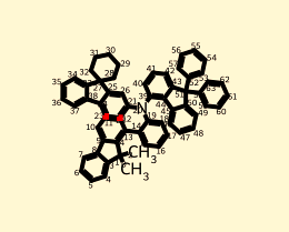 CC1(C)c2ccccc2-c2cccc(-c3ccccc3N(c3ccc4c(c3)C3(CCCCC3)c3ccccc3-4)c3cccc4c3-c3ccccc3C4(c3ccccc3)c3ccccc3)c21